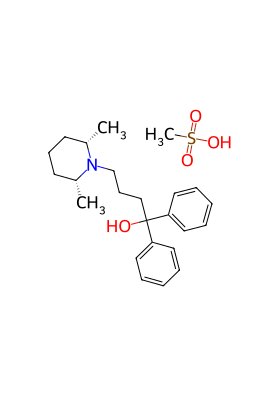 CS(=O)(=O)O.C[C@@H]1CCC[C@H](C)N1CCCC(O)(c1ccccc1)c1ccccc1